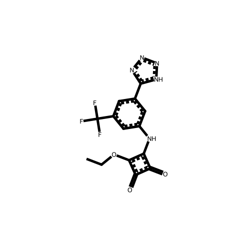 CCOc1c(Nc2cc(-c3nnn[nH]3)cc(C(F)(F)F)c2)c(=O)c1=O